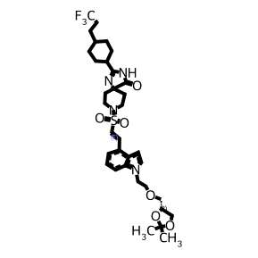 CC1(C)OC[C@@H](COCCn2ccc3c(/C=C/S(=O)(=O)N4CCC5(CC4)N=C(C4CCC(CCC(F)(F)F)CC4)NC5=O)cccc32)O1